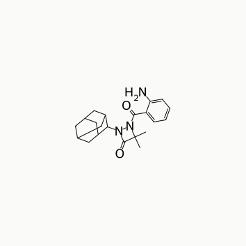 CC1(C)C(=O)N(C2C3CC4CC(C3)CC2C4)N1C(=O)c1ccccc1N